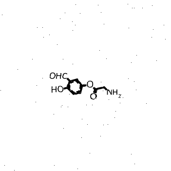 NCC(=O)Oc1ccc(O)c(C=O)c1